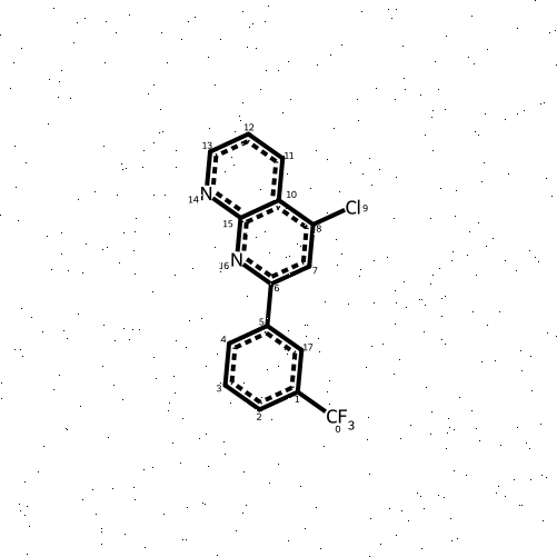 FC(F)(F)c1cccc(-c2cc(Cl)c3cccnc3n2)c1